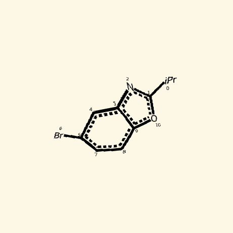 CC(C)c1nc2cc(Br)ccc2o1